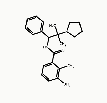 Bc1cccc(C(=O)NC(c2ccccc2)C(C)(C)N2CCCC2)c1C